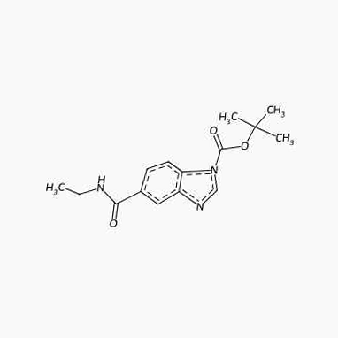 CCNC(=O)c1ccc2c(c1)ncn2C(=O)OC(C)(C)C